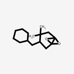 CC1(C)CC23OC2(CC1CC1CCCCC1)O3